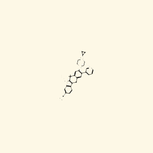 CC1(C)c2cc(N3CCN(C4CC4)CC3)c(-c3cccnc3)cc2C(=O)c2c1[nH]c1cc(C#N)ccc21